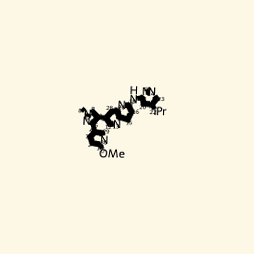 COc1ccc(-c2nn(C)cc2-c2cnc3ccc(Nc4cc(C(C)C)cnn4)nc3c2)cn1